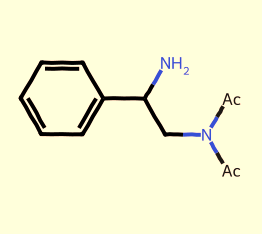 CC(=O)N(CC(N)c1ccccc1)C(C)=O